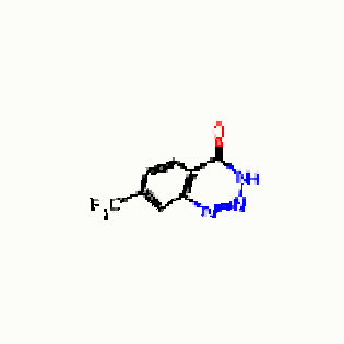 O=c1[nH]nnc2cc(C(F)(F)F)ccc12